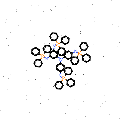 c1ccc(P(=Nc2ccc(N(c3ccc(N=P(c4ccccc4)(c4ccccc4)c4ccccc4)cc3)c3cc(N=P(c4ccccc4)(c4ccccc4)c4ccccc4)cc(N=P(c4ccccc4)(c4ccccc4)c4ccccc4)c3)cc2)(c2ccccc2)c2ccccc2)cc1